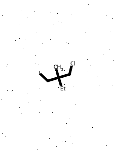 CCC(C)(CCl)CI